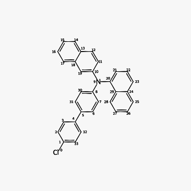 Clc1ccc(-c2ccc(N(c3ccc4ccccc4c3)c3cccc4ccccc34)cc2)cc1